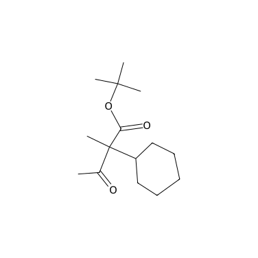 CC(=O)C(C)(C(=O)OC(C)(C)C)C1CCCCC1